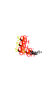 O=S(=O)([O-])C(O)CC=S.O=S(=O)([O-])C(O)CC=S.O=S(=O)([O-])C(O)CC=S.O=S(=O)([O-])C(O)CC=S.[Au+3].[Na+]